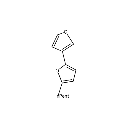 CCCC[CH]c1ccc(-c2ccoc2)o1